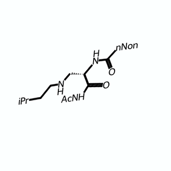 CCCCCCCCCC(=O)N[C@@H](CNCCC(C)C)C(=O)NC(C)=O